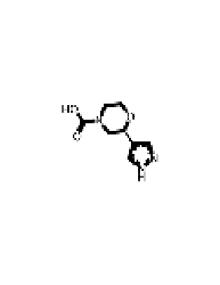 O=C(O)N1CCO[C@@H](c2cn[nH]c2)C1